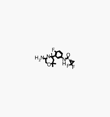 CC1(C)C[C@@](C)(c2cc(NC(=O)[C@@H]3CC3(F)F)ccc2F)N=C(N)CO1